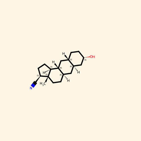 C[C@]12CC[C@@H]3C[C@@H]4C[C@@H](O)CC[C@H]4C[C@H]3[C@@H]1CC[C@@H]2C#N